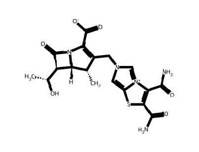 C[C@@H](O)[C@H]1C(=O)N2C(C(=O)[O-])=C(Cn3cc4sc(C(N)=O)c(C(N)=O)[n+]4c3)[C@H](C)[C@H]12